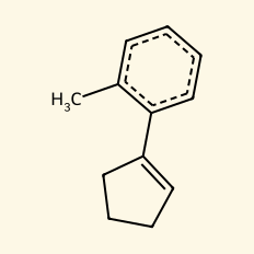 Cc1ccccc1C1=CCCC1